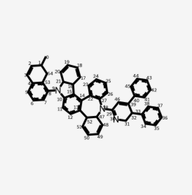 CC1C=Cc2cccc(N3c4ccc5c(c4C4C=CC=CC43)-c3ccccc3N(C3=NCC(c4ccccc4)C(c4ccccc4)=C3)C3C=CC=CC53)c2C1